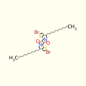 CCCCCCCCCCCCC1=CN2C(=O)C3=C4c5sc(Br)cc5C(CCCCCCCCCCCC)=CN4C(=O)C3=C2c2sc(Br)cc21